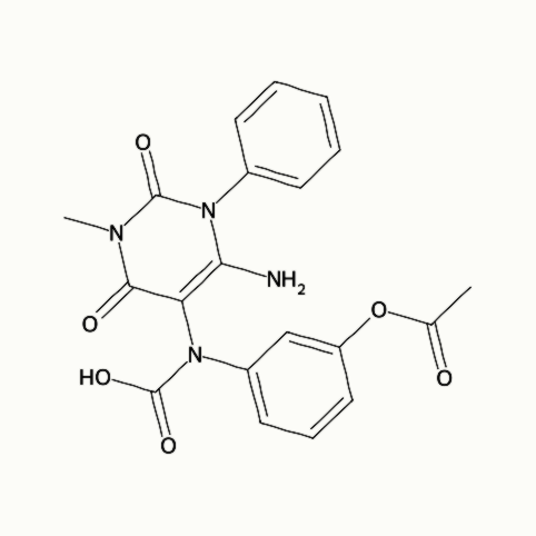 CC(=O)Oc1cccc(N(C(=O)O)c2c(N)n(-c3ccccc3)c(=O)n(C)c2=O)c1